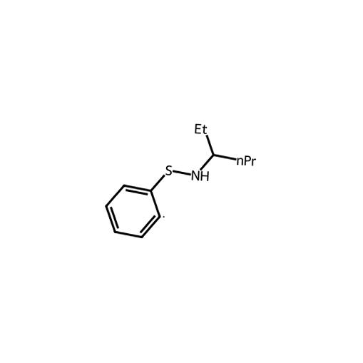 CCCC(CC)NSc1[c]cccc1